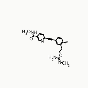 C/N=C(/N)OCCc1cc(C#Cc2ccc(C(=O)NC)cn2)ccc1F